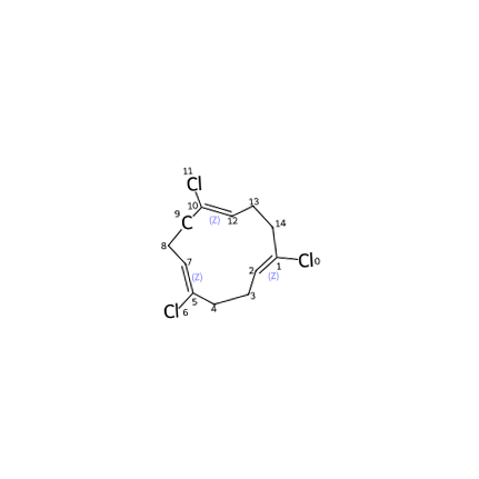 Cl/C1=C\CC/C(Cl)=C/CC/C(Cl)=C/CC1